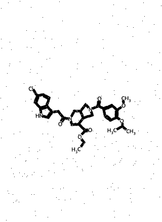 CCOC(=O)C1CN(C(=O)Cc2c[nH]c3cc(Cl)ccc23)CC2CN(C(=O)c3ccc(OC(C)C)c(OC)c3)CC21